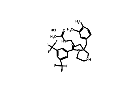 CC(=O)NCCCC1(Cc2ccc(C)c(C)c2)CNCCN1C(=O)c1cc(C(F)(F)F)cc(C(F)(F)F)c1.Cl